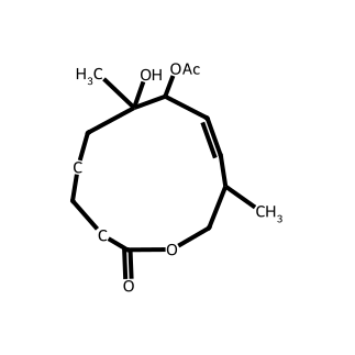 CC(=O)OC1C=CC(C)COC(=O)CCCCC1(C)O